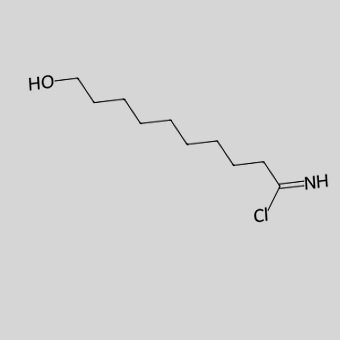 N=C(Cl)CCCCCCCCCO